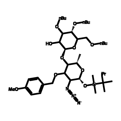 CCCCOCC1O[C@@H](OC2C(OCc3ccc(OC)cc3)C(N=[N+]=[N-])[C@@H](O[Si](C)(C)C(C)(C)C(C)C)O[C@H]2C)C(O)C(OCCCC)[C@@H]1OCCCC